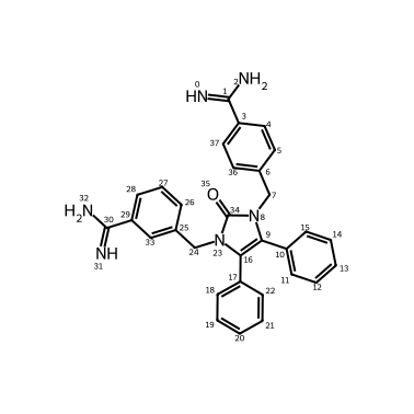 N=C(N)c1ccc(Cn2c(-c3ccccc3)c(-c3ccccc3)n(Cc3cccc(C(=N)N)c3)c2=O)cc1